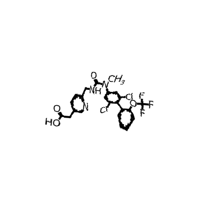 CN(C(=O)NCc1ccc(CC(=O)O)cn1)c1cc(Cl)c(-c2ccccc2OC(F)(F)F)c(Cl)c1